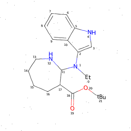 CCN(c1c[nH]c2ccccc12)C1NCCCCC1C(=O)OC(C)(C)C